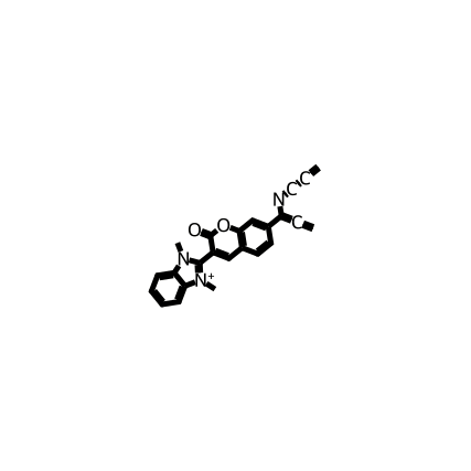 C=C=C=NC(=C=C)c1ccc2cc(-c3n(C)c4ccccc4[n+]3C)c(=O)oc2c1